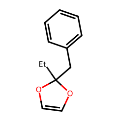 [CH2]CC1(Cc2ccccc2)OC=CO1